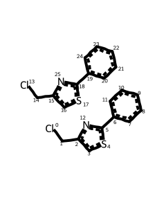 ClCc1csc(-c2ccccc2)n1.ClCc1csc(-c2ccccc2)n1